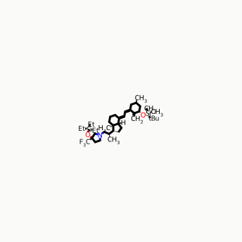 C=C1/C(=C\C=C2/CCC[C@]3(C)[C@@H]([C@H](C)CN4CCC(O[Si](CC)(CC)CC)(C(F)(F)F)C4)CC[C@@H]23)C[C@@H](C)C[C@@H]1O[Si](C)(C)C(C)(C)C